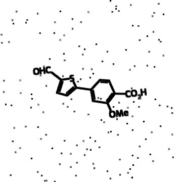 COc1cc(-c2ccc(C=O)s2)ccc1C(=O)O